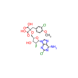 COc1ccc(CC(OC[C@H]2O[C@@H](n3cnc4c(N)nc(Cl)nc43)[C@@H](F)[C@@H]2O)(C(=O)O)C(=O)O)cc1Cl